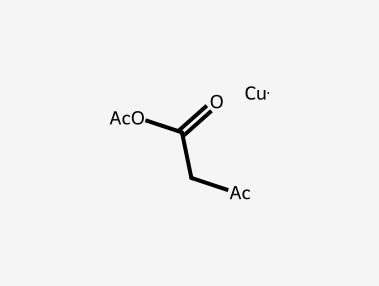 CC(=O)CC(=O)OC(C)=O.[Cu]